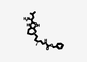 CC(C)C[C@H](N)C(=O)NC1CCCN(CC[C@@H](C)CCNC(=O)OCc2ccccc2)CC1O